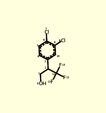 OCC(c1ccc(Cl)c(Cl)c1)C(F)(F)F